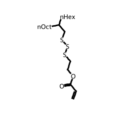 C=CC(=O)OCCSSSCC(CCCCCC)CCCCCCCC